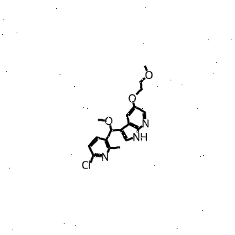 COCCOc1cnc2[nH]cc(C(OC)c3ccc(Cl)nc3C)c2c1